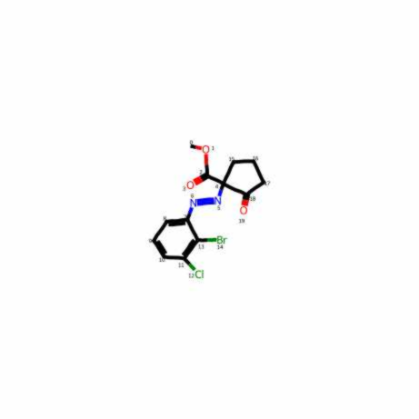 COC(=O)C1(N=Nc2cccc(Cl)c2Br)CCCC1=O